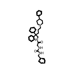 O=C(CNC(=O)NCc1ccccc1)NCC(CCCN1CCC(c2ccccc2)CC1)(c1ccccc1)c1ccccc1